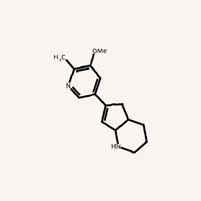 COc1cc(C2=CC3NCCCC3C2)cnc1C